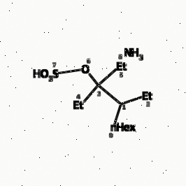 CCCCCCC(CC)C(CC)(CC)OS(=O)(=O)O.N